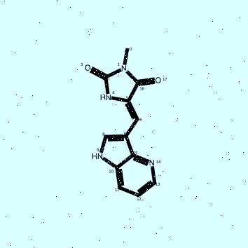 CN1C(=O)N/C(=C\c2c[nH]c3cccnc23)C1=O